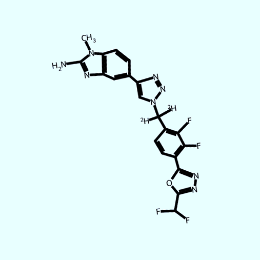 [2H]C([2H])(c1ccc(-c2nnc(C(F)F)o2)c(F)c1F)n1cc(-c2ccc3c(c2)nc(N)n3C)nn1